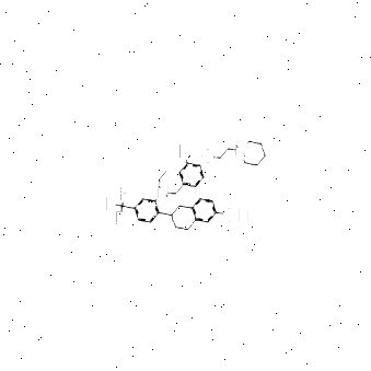 CCN(Cc1ccc(OCCN2CCCCC2)c(F)c1)c1cc(C(F)(F)F)ccc1C1CCc2cc(O)ccc2C1